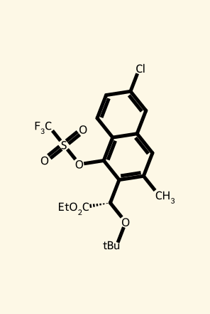 CCOC(=O)[C@@H](OC(C)(C)C)c1c(C)cc2cc(Cl)ccc2c1OS(=O)(=O)C(F)(F)F